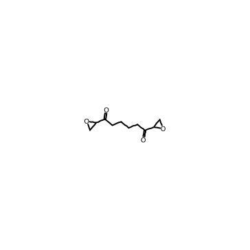 O=C(CCCCC(=O)C1CO1)C1CO1